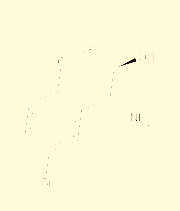 CC1(C)Oc2ccc(Br)cc2[C@@H](N)[C@@H]1O